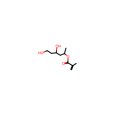 C=C(C)C(=O)OC(C)CC(O)CCO